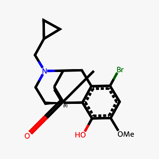 COc1cc(Br)c2c(c1O)[C@@]13CCN(CC4CC4)C(C2)C1CCC(=O)C3